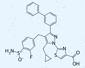 N[S+]([O-])c1ccc(Cc2c(-c3cccc(-c4ccccc4)c3)nn(-c3nc(C(=O)O)cs3)c2CC2CC2)cc1F